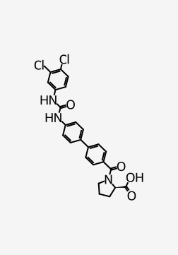 O=C(Nc1ccc(-c2ccc(C(=O)N3CCC[C@@H]3C(=O)O)cc2)cc1)Nc1ccc(Cl)c(Cl)c1